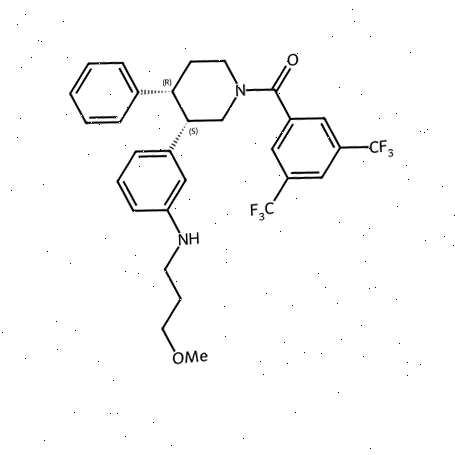 COCCCNc1cccc([C@H]2CN(C(=O)c3cc(C(F)(F)F)cc(C(F)(F)F)c3)CC[C@H]2c2ccccc2)c1